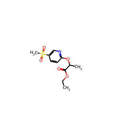 CCOC(=O)C(C)Oc1ccc(S(C)(=O)=O)cn1